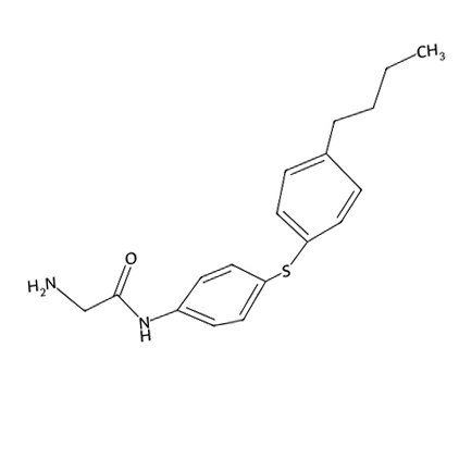 CCCCc1ccc(Sc2ccc(NC(=O)CN)cc2)cc1